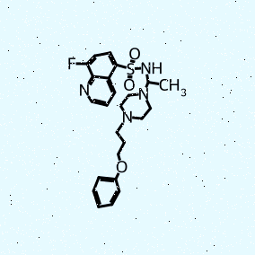 CC(NS(=O)(=O)c1ccc(F)c2ncccc12)N1CCN(CCCOc2ccccc2)CC1